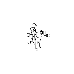 CC(C)c1nn(C(C)(C(N)=O)[C@@H]2CCCN(C3CC3)C2)c(=O)c2cc3ccsc3n12.O=CO